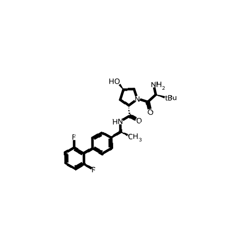 C[C@H](NC(=O)[C@@H]1C[C@@H](O)CN1C(=O)[C@@H](N)C(C)(C)C)c1ccc(-c2c(F)cccc2F)cc1